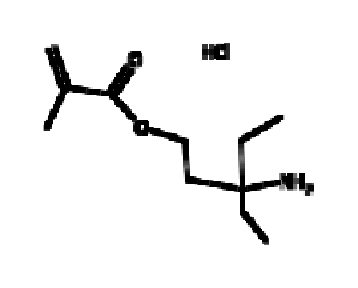 C=C(C)C(=O)OCCC(N)(CC)CC.Cl